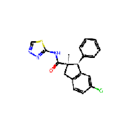 C[C@@]1(C(=O)Nc2nncs2)Cc2ccc(Cl)cc2[C@@H]1c1ccccc1